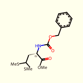 COC(=O)[C@H](CC(SC)SC)NC(=O)OCc1ccccc1